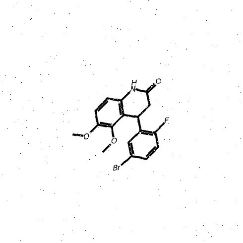 COc1ccc2c(c1OC)C(c1cc(Br)ccc1F)CC(=O)N2